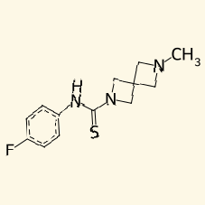 CN1CC2(C1)CN(C(=S)Nc1ccc(F)cc1)C2